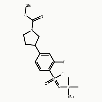 CC(C)(C)OC(=O)N1CCC(c2ccc(S(=O)(Cl)=N[Si](C)(C)C(C)(C)C)c(F)c2)C1